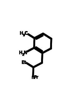 CCCC(CC)CC1=C(N)C(C)=CCC1